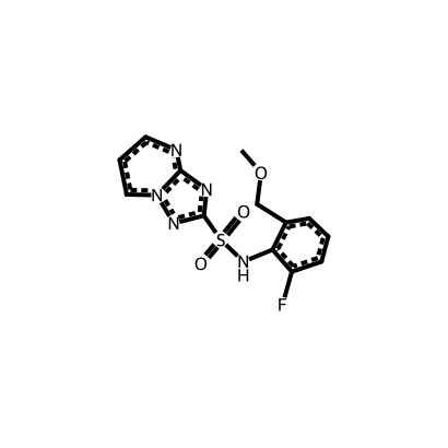 COCc1cccc(F)c1NS(=O)(=O)c1nc2ncccn2n1